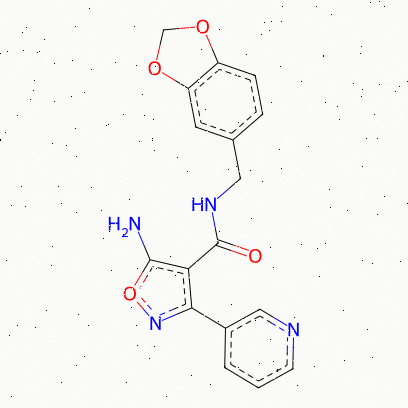 Nc1onc(-c2cccnc2)c1C(=O)NCc1ccc2c(c1)OCO2